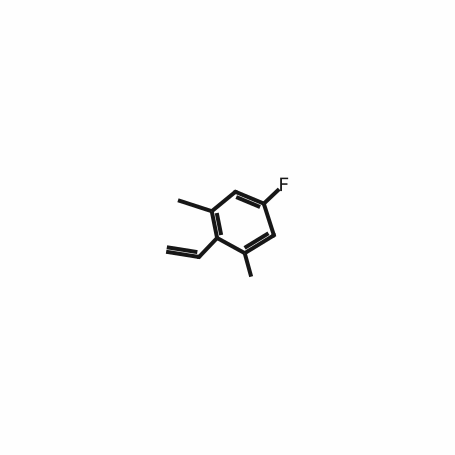 C=Cc1c(C)cc(F)cc1C